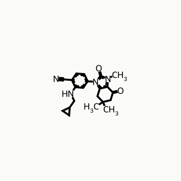 Cn1c2c(n(-c3ccc(C#N)c(NCC4CC4)c3)c1=O)CC(C)(C)CC2=O